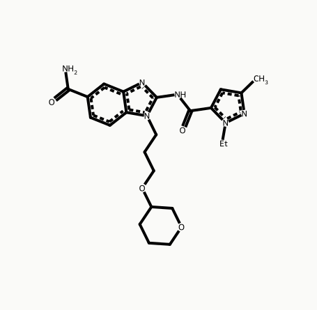 CCn1nc(C)cc1C(=O)Nc1nc2cc(C(N)=O)ccc2n1CCCOC1CCCOC1